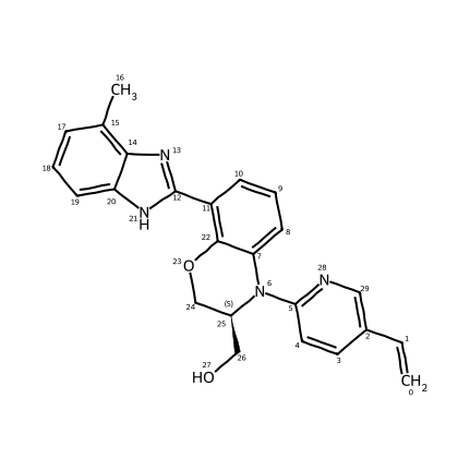 C=Cc1ccc(N2c3cccc(-c4nc5c(C)cccc5[nH]4)c3OC[C@@H]2CO)nc1